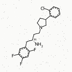 N[C@@H](CCN1CCC(c2ccccc2Cl)C1)Cc1cc(F)c(F)cc1F